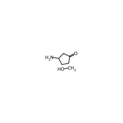 CO.NC1CCC(=O)C1